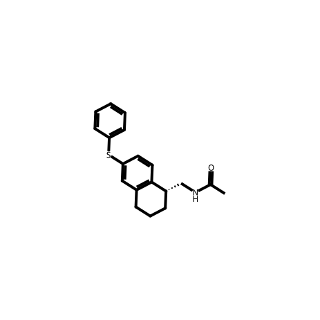 CC(=O)NC[C@@H]1CCCc2cc(Sc3ccccc3)ccc21